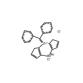 CCCCC1=[C]([Zr+2]([C]2=C(CCCC)C=CC2)=[C](c2ccccc2)c2ccccc2)CC=C1.[Cl-].[Cl-]